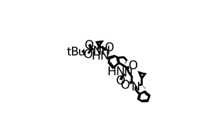 C[C@@H](C1CC1)N(Cc1ccccc1)C(=O)CN1C(=O)N[C@]2(CCc3cc(NC(=O)C4(NC(=O)OC(C)(C)C)CC4)ccc32)C1=O